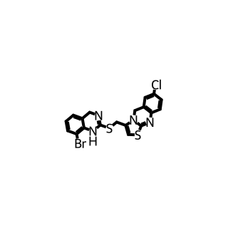 Clc1ccc2c(c1)CN1C(CSC3=NCc4cccc(Br)c4N3)=CSC1=N2